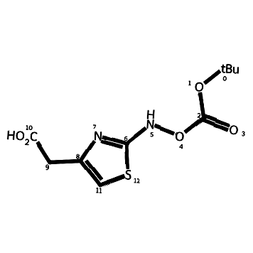 CC(C)(C)OC(=O)ONc1nc(CC(=O)O)cs1